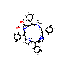 Oc1c(O)c2[nH]c1c(-c1ccccc1)c1nc(c(-c3ccccc3)c3ccc([nH]3)c(-c3ccccc3)c3nc(c2-c2ccccc2)CC3)CC1